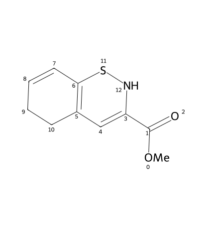 COC(=O)C1=CC2=C(C=CCC2)SN1